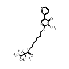 CC(C)C(C)(C)C(=O)OCCCCCCSc1ncc(-c2cccnc2)c(=O)n1C